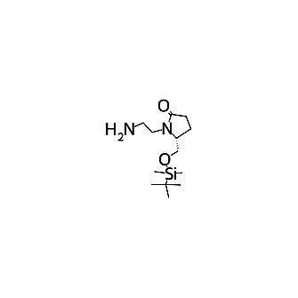 CC(C)(C)[Si](C)(C)OC[C@H]1CCC(=O)N1CCN